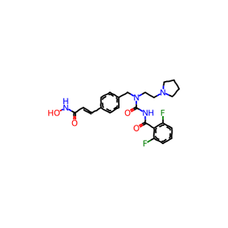 O=C(/C=C/c1ccc(CN(CCN2CCCC2)C(=O)NC(=O)c2c(F)cccc2F)cc1)NO